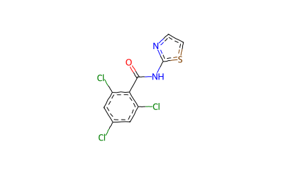 O=C(Nc1nccs1)c1c(Cl)cc(Cl)cc1Cl